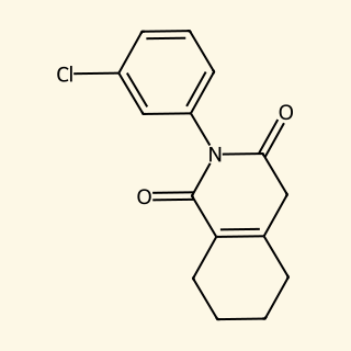 O=C1CC2=C(CCCC2)C(=O)N1c1cccc(Cl)c1